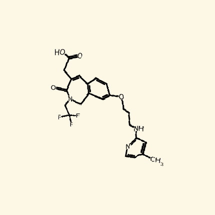 Cc1ccnc(NCCCOc2ccc3c(c2)CN(CC(F)(F)F)C(=O)C(CC(=O)O)=C3)c1